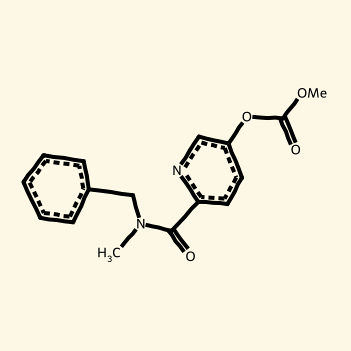 COC(=O)Oc1ccc(C(=O)N(C)Cc2ccccc2)nc1